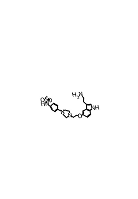 CS(=O)(=O)Nc1ccc(N2CCN(CCOc3ccc4[nH]cc(CCN)c4c3)CC2)cc1